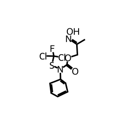 CC(COC(=O)N(SC(F)(Cl)Cl)c1ccccc1)=NO